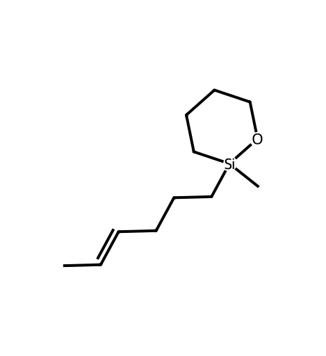 CC=CCCC[Si]1(C)CCCCO1